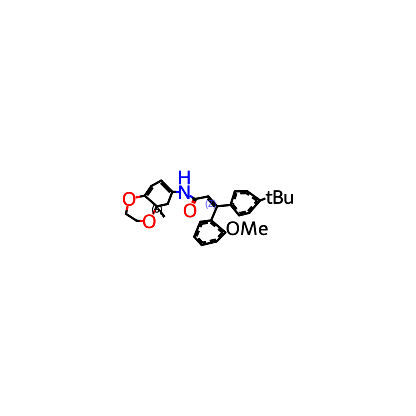 COc1ccccc1/C(=C\C(=O)NC1=CC=C2OCCO[C@@]2(C)C1)c1ccc(C(C)(C)C)cc1